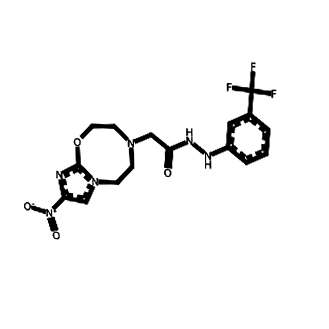 O=C(CN1CCOc2nc([N+](=O)[O-])cn2CC1)NNc1cccc(C(F)(F)F)c1